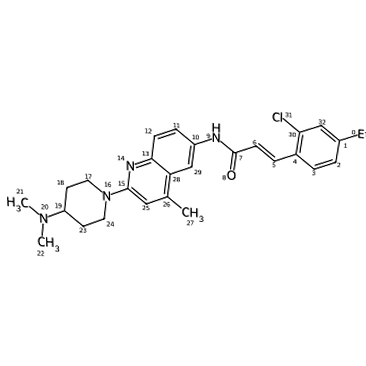 CCc1ccc(/C=C/C(=O)Nc2ccc3nc(N4CCC(N(C)C)CC4)cc(C)c3c2)c(Cl)c1